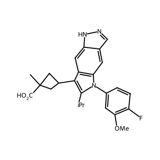 COc1cc(-n2c(C(C)C)c(C3CC(C)(C(=O)O)C3)c3cc4[nH]ncc4cc32)ccc1F